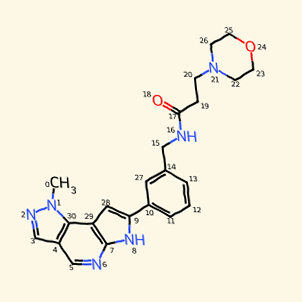 Cn1ncc2cnc3[nH]c(-c4cccc(CNC(=O)CCN5CCOCC5)c4)cc3c21